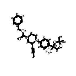 CC#C[C@H]1CN(C(=O)OCc2ccccc2)CCN1c1ccc(C2(C(F)(F)F)COC(C)(C)O2)cc1